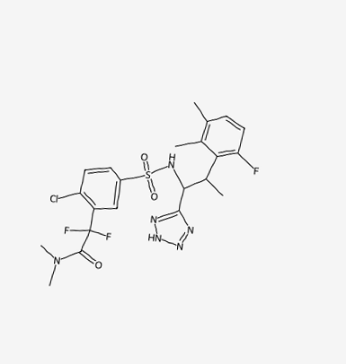 Cc1ccc(F)c(C(C)C(NS(=O)(=O)c2ccc(Cl)c(C(F)(F)C(=O)N(C)C)c2)c2nn[nH]n2)c1C